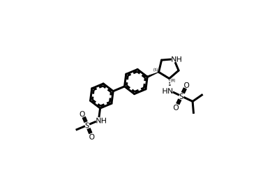 CC(C)S(=O)(=O)N[C@H]1CNC[C@@H]1c1ccc(-c2cccc(NS(C)(=O)=O)c2)cc1